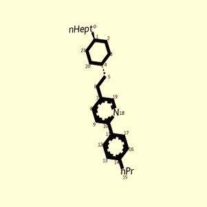 CCCCCCC[C@H]1CC[C@H](CCc2ccc(-c3ccc(CCC)cc3)nc2)CC1